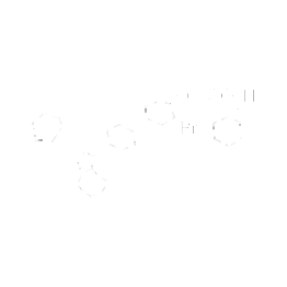 O=C(O)[C@@H](Cc1ccccc1)Oc1ccc(-c2ccc(-c3c(Cc4ccccc4)sc4ccccc34)cc2)cc1Br